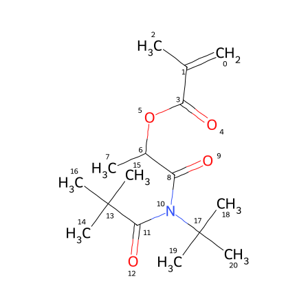 C=C(C)C(=O)OC(C)C(=O)N(C(=O)C(C)(C)C)C(C)(C)C